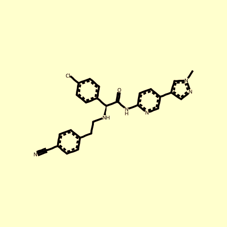 Cn1cc(-c2ccc(NC(=O)[C@@H](NCCc3ccc(C#N)cc3)c3ccc(Cl)cc3)nc2)cn1